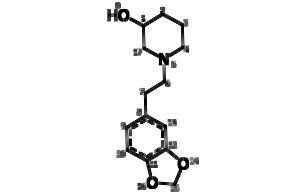 OC1CCCN(CCc2ccc3c(c2)OCO3)C1